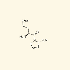 CSCC[C@H](N)C(=O)N1CC=C[C@H]1C#N